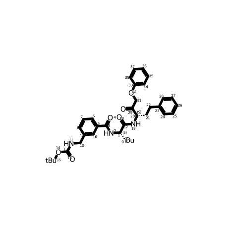 CCC(C)[C@H](NC(=O)c1cccc(CNC(=O)OC(C)(C)C)c1)C(=O)N[C@@H](CCc1ccccc1)C(=O)COc1ccccc1